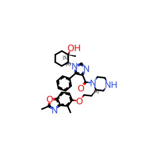 Cc1nc2c(C)c(OCC[C@@H]3CNCCN3C(=O)c3ncn([C@@H]4CCCC[C@]4(C)O)c3-c3ccccc3)ccc2o1